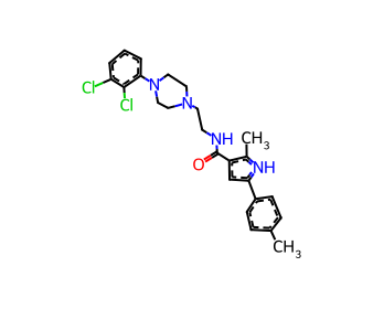 Cc1ccc(-c2cc(C(=O)NCCN3CCN(c4cccc(Cl)c4Cl)CC3)c(C)[nH]2)cc1